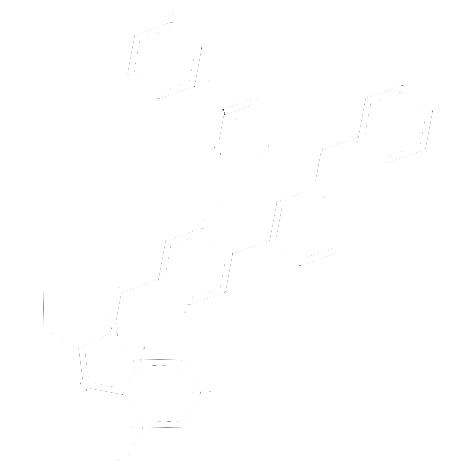 C=C/C(=C(\SCc1ccccc1)S(=O)(=O)NC(=O)c1ccccc1)c1ccc(Cn2c(CC)nc3c(C)cccc32)cc1